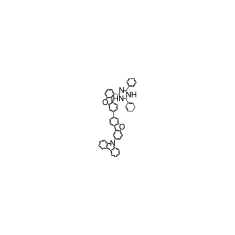 C1=CC(C2NC(c3ccccc3)=NC(c3cccc4oc5cc(-c6ccc7c(c6)oc6ccc(-n8c9ccccc9c9ccccc98)cc67)ccc5c34)N2)=CCC1